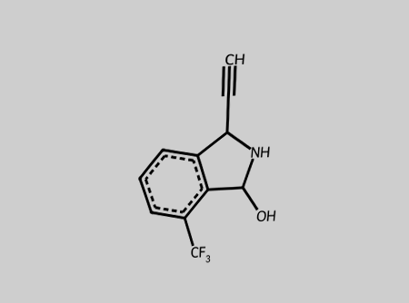 C#CC1NC(O)c2c1cccc2C(F)(F)F